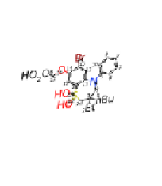 CCCCC1(CC)CN(c2ccccc2)c2cc(Br)c(OCC(=O)O)cc2S(O)(O)C1